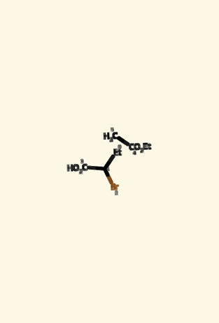 CCC(Br)C(=O)O.CCOC(C)=O